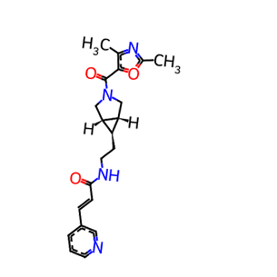 Cc1nc(C)c(C(=O)N2C[C@@H]3[C@@H](CCNC(=O)/C=C/c4cccnc4)[C@@H]3C2)o1